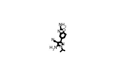 CC(C)n1nc(-c2ccc3oc(N)nc3c2)c(C#N)c1N